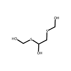 OCSCC(O)SCO